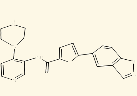 O=C(Nc1cnccc1N1CCNCC1)c1ccc(-c2ccc3[nH]ncc3c2)s1